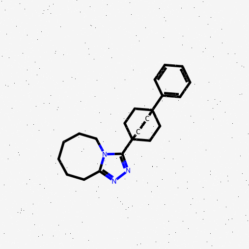 c1ccc(C23CCC(c4nnc5n4CCCCCC5)(CC2)CC3)cc1